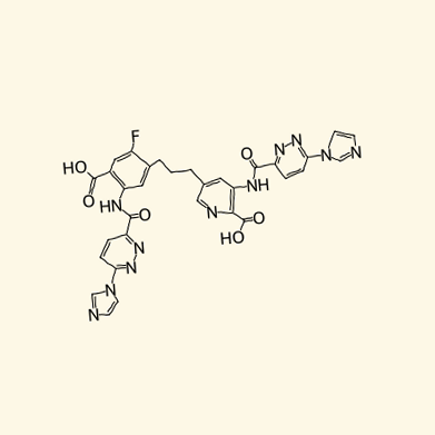 O=C(Nc1cc(CCCc2cnc(C(=O)O)c(NC(=O)c3ccc(-n4ccnc4)nn3)c2)c(F)cc1C(=O)O)c1ccc(-n2ccnc2)nn1